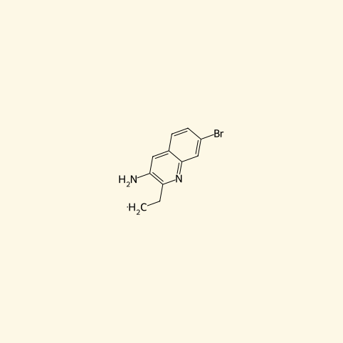 [CH2]Cc1nc2cc(Br)ccc2cc1N